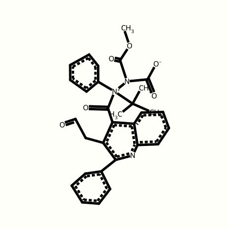 COC(=O)N(C(=O)[O-])[N+](C(=O)c1c(CC=O)c(-c2ccccc2)nc2ccccc12)(c1ccccc1)C(C)(C)C